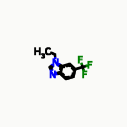 CCn1cnc2ccc(C(F)(F)F)cc21